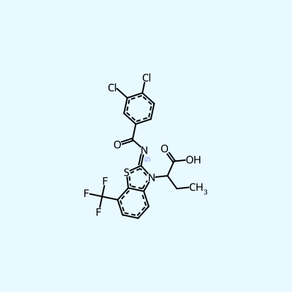 CCC(C(=O)O)n1/c(=N/C(=O)c2ccc(Cl)c(Cl)c2)sc2c(C(F)(F)F)cccc21